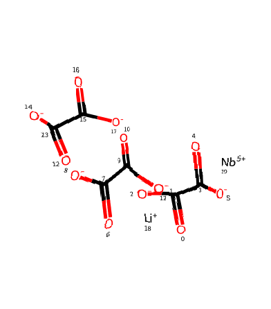 O=C([O-])C(=O)[O-].O=C([O-])C(=O)[O-].O=C([O-])C(=O)[O-].[Li+].[Nb+5]